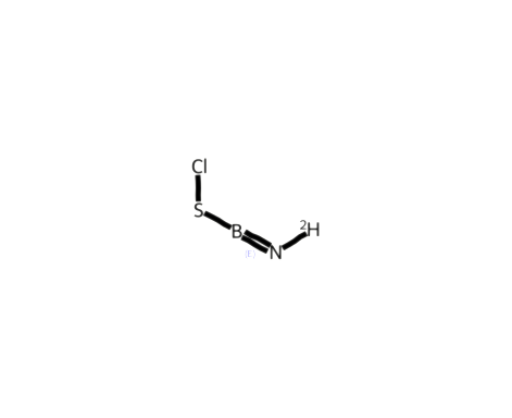 [2H]/N=B/SCl